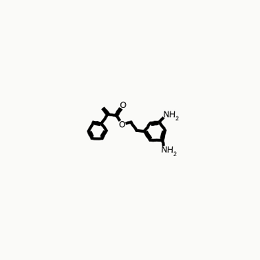 C=C(C(=O)OCCc1cc(N)cc(N)c1)c1ccccc1